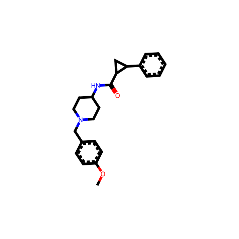 COc1ccc(CN2CCC(NC(=O)C3CC3c3ccccc3)CC2)cc1